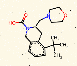 CC(C)(C)c1cccc2c1CC(CN1CCOCC1)N(C(=O)O)C2